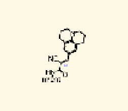 CCCCCNC(=O)/C(C#N)=C/c1cc2c3c(c1)CCCN3CCC2